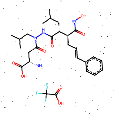 CC(C)C[C@@H](C(=O)NN(CC(C)C)C(=O)C[C@H](N)C(=O)O)[C@H](C/C=C/c1ccccc1)C(=O)NO.O=C(O)C(F)(F)F